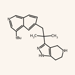 CC(C)(C)c1cncc2ccc(CC(C)(C)c3n[nH]c4c3CNCC4)cc12